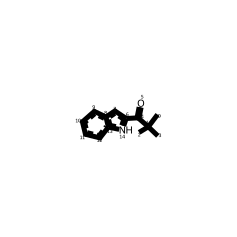 CC(C)(C)C(=O)c1cc2ccccc2[nH]1